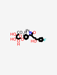 CC(C)N1C(=O)C(CC[C@H](O)c2ccc(F)cc2)[C@H]1c1ccc(O[C@@H]2O[C@H](C(=O)O)C(O)[C@H](O)C2O)cc1